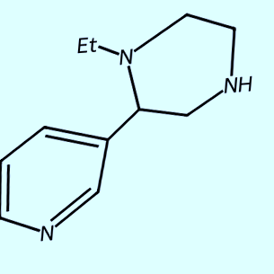 CCN1CCNCC1c1cccnc1